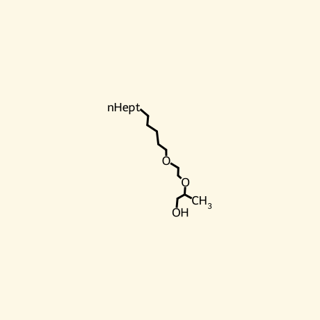 CCCCCCCCCCCCOCCOC(C)CO